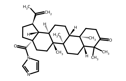 C=C(C)[C@@H]1CC[C@]2(C(=O)n3ccnc3)CC[C@]3(C)[C@H](CC[C@@H]4[C@@]5(C)CCC(=O)C(C)(C)[C@@H]5CC[C@]43C)[C@@H]12